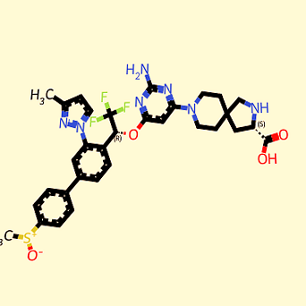 Cc1ccn(-c2cc(-c3ccc([S+](C)[O-])cc3)ccc2[C@@H](Oc2cc(N3CCC4(CC3)CN[C@H](C(=O)O)C4)nc(N)n2)C(F)(F)F)n1